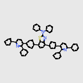 c1ccc(-c2ccc(-c3ccc(-c4ccc(-c5ccc(-c6ccc(-c7ccccc7)nc6-c6ccccc6)cc5)c5sc(N(c6ccccc6)c6ccccc6)nc45)cc3)c(-c3ccccc3)n2)cc1